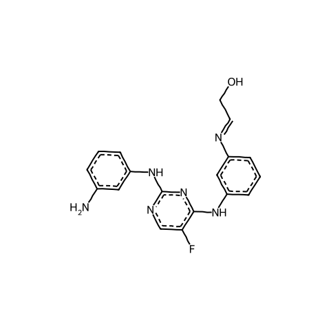 Nc1cccc(Nc2ncc(F)c(Nc3cccc(N=CCO)c3)n2)c1